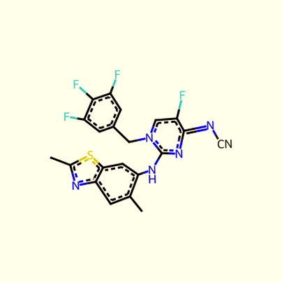 Cc1nc2cc(C)c(Nc3nc(=NC#N)c(F)cn3Cc3cc(F)c(F)c(F)c3)cc2s1